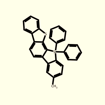 Cc1ccc2c(c1)-c1ccc3c(sc4ccccc43)c1[Si]2(c1ccccc1)c1ccccc1